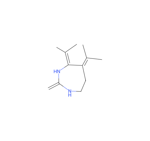 C=C1NCCC(=C(C)C)C(=C(C)C)N1